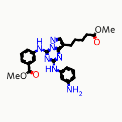 COC(=O)CCCCc1cnn2c(Nc3cccc(C(=O)OC)c3)nc(Nc3cccc(N)c3)nc12